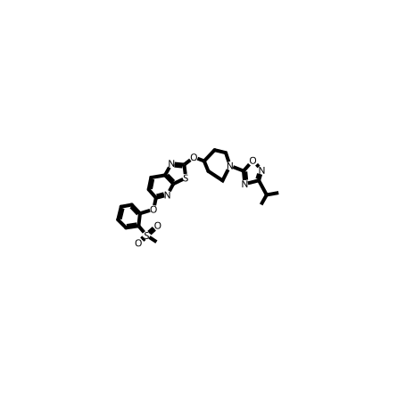 CC(C)c1noc(N2CCC(Oc3nc4ccc(Oc5ccccc5S(C)(=O)=O)nc4s3)CC2)n1